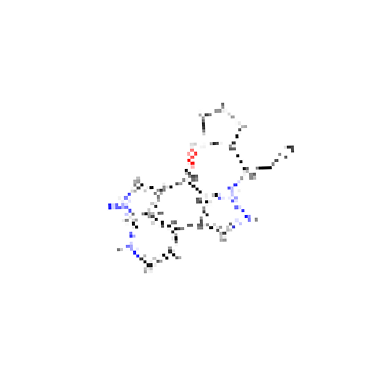 N#CC[C@H](C1CCCC1)n1ncc2c1C(=O)c1c[nH]c3nccc-2c13